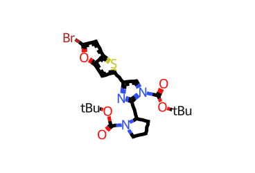 CC(C)(C)OC(=O)N1CCCC1c1nc(-c2cc3oc(Br)cc3s2)cn1C(=O)OC(C)(C)C